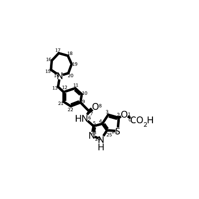 O=C(O)Oc1cc2c(NC(=O)c3ccc(CN4CCCCCC4)cc3)n[nH]c2s1